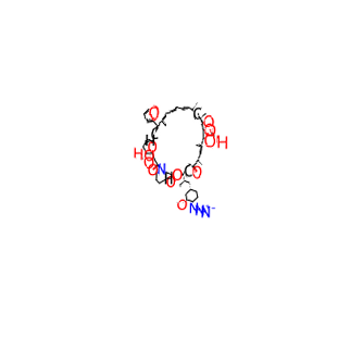 CO[C@@H]1C[C@H](C[C@@H](C)[C@@H]2CC(=O)[C@H](C)/C=C(\C)[C@@H](O)[C@@H](OC)C(=O)[C@H](C)C[C@H](C)/C=C/C=C/C=C(\C)C(c3ccco3)C[C@@H]3CC[C@@H](C)[C@@](O)(O3)C(=O)C(=O)N3CCCC[C@H]3C(=O)O2)CCC1N=[N+]=[N-]